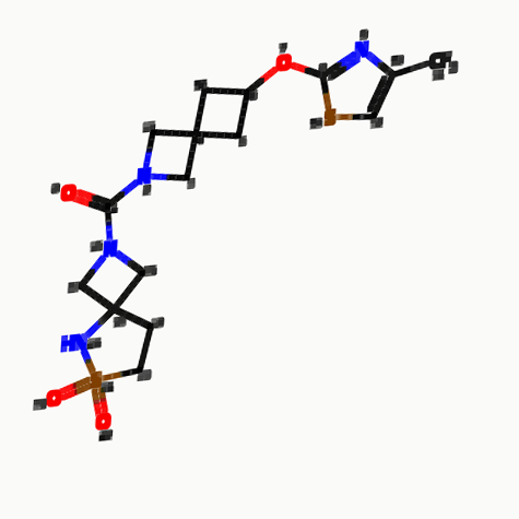 O=C(N1CC2(CC(Oc3nc(C(F)(F)F)cs3)C2)C1)N1CC2(CCS(=O)(=O)N2)C1